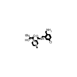 CN1CCN(C(=O)[C@H](O)C(C)(C)C)[C@H](C(=O)NCc2cc(Cl)ccc2CN)C1